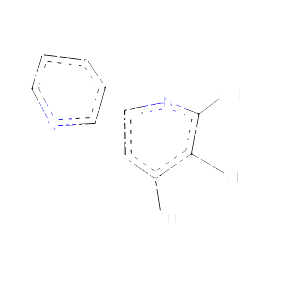 Cc1ccnc(C)c1C.c1ccncc1